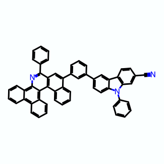 N#Cc1ccc2c3cc(-c4cccc(-c5cc6c(-c7ccccc7)nc7c8ccccc8c8ccccc8c7c6c6ccccc56)c4)ccc3n(-c3ccccc3)c2c1